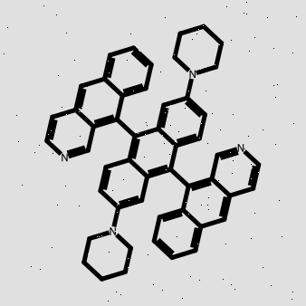 c1ccc2c(-c3c4ccc(N5CCCCC5)cc4c(-c4c5ccccc5cc5ccncc45)c4ccc(N5CCCCC5)cc34)c3cnccc3cc2c1